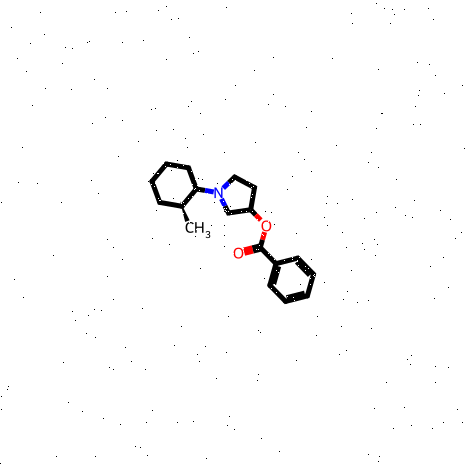 C[C@H]1CCCCC1N1CCC(OC(=O)c2ccccc2)C1